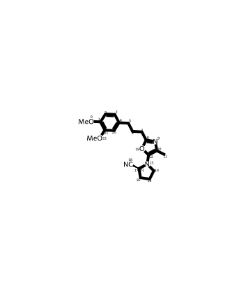 COc1ccc(CCCc2nc(C)c(N3CCC[C@H]3C#N)o2)cc1OC